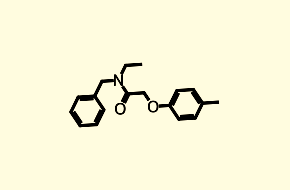 CCN(Cc1ccccc1)C(=O)COc1ccc(C)cc1